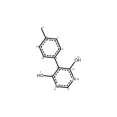 Cc1ccc(-c2c(O)ncnc2O)cc1